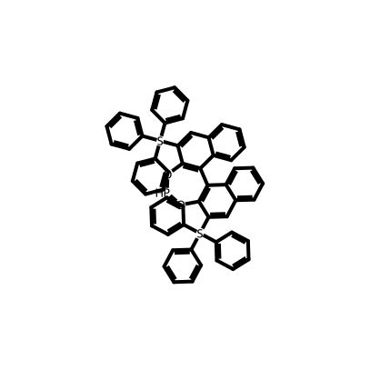 c1ccc(S(c2ccccc2)(c2ccccc2)c2cc3ccccc3c3c2o[pH]oc2c(S(c4ccccc4)(c4ccccc4)c4ccccc4)cc4ccccc4c23)cc1